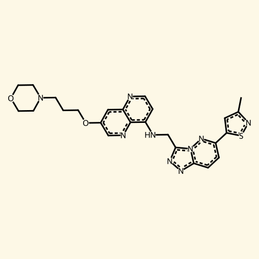 Cc1cc(-c2ccc3nnc(CNc4ccnc5cc(OCCCN6CCOCC6)cnc45)n3n2)sn1